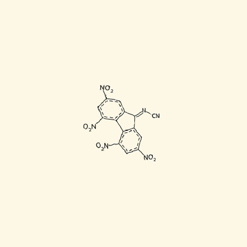 N#CN=C1c2cc([N+](=O)[O-])cc([N+](=O)[O-])c2-c2c1cc([N+](=O)[O-])cc2[N+](=O)[O-]